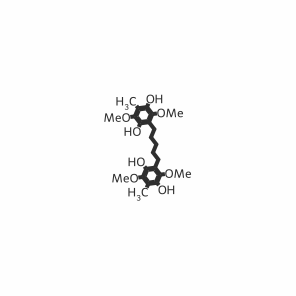 COc1c(C)c(O)c(OC)c(CCCCCc2c(O)c(OC)c(C)c(O)c2OC)c1O